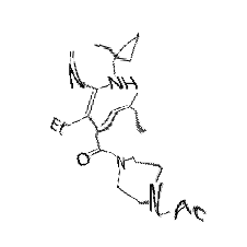 C=N/C(NC1(C)CC1)=C(\CC)C(C(=O)N1CCN(C(C)=O)CC1)=C(C)C